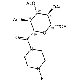 CCN1CCN(C(=O)[C@H]2O[C@@H](OC(C)=O)[C@H](OC(C)=O)[C@@H](OC(C)=O)[C@@H]2OC(C)=O)CC1